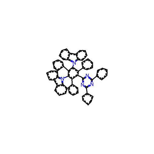 c1ccc(-c2nc(-c3ccccc3)nc(-c3c(-c4ccccc4)c(-n4c5ccccc5c5ccccc54)c(-c4ccccc4)c(-n4c5ccccc5c5ccccc54)c3-c3ccccc3)n2)cc1